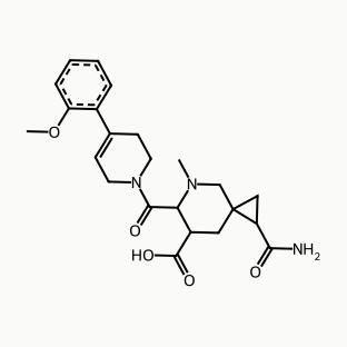 COc1ccccc1C1=CCN(C(=O)C2C(C(=O)O)CC3(CC3C(N)=O)CN2C)CC1